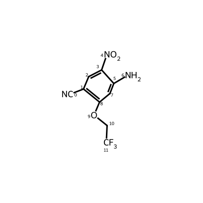 N#Cc1cc([N+](=O)[O-])c(N)cc1OCC(F)(F)F